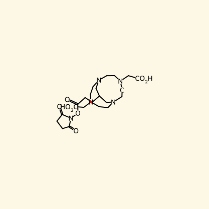 O=C(O)CN1CCN2CCN(CC(=O)O)CCN(CC1)CC(CCC(=O)ON1C(=O)CCC1=O)C2